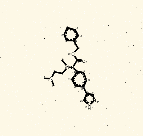 CN(C)CCN(C)N(C(=O)OCc1ccccc1)c1ccc(-c2cn[nH]c2)cc1